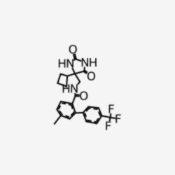 Cc1ccc(C(=O)NCC2(C3CCC3)NC(=O)NC2=O)c(-c2ccc(C(F)(F)F)cc2)c1